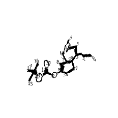 CCC1CN(C)Cc2cc(OC(=O)OC(C)(C)C)ccc21